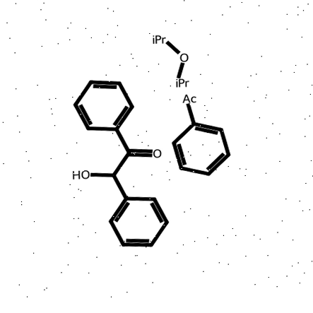 CC(=O)c1ccccc1.CC(C)OC(C)C.O=C(c1ccccc1)C(O)c1ccccc1